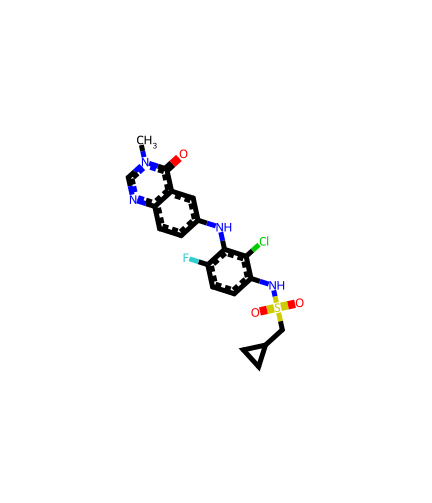 Cn1cnc2ccc(Nc3c(F)ccc(NS(=O)(=O)CC4CC4)c3Cl)cc2c1=O